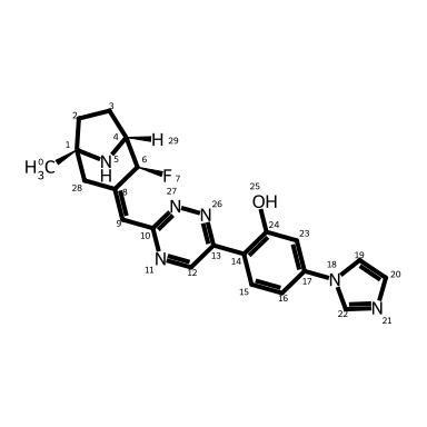 C[C@@]12CC[C@@H](N1)[C@@H](F)/C(=C\c1ncc(-c3ccc(-n4ccnc4)cc3O)nn1)C2